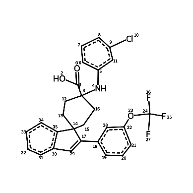 O=C(O)C1(Nc2cccc(Cl)c2)CCC2(CC1)C(c1cccc(OC(F)(F)F)c1)=Cc1ccccc12